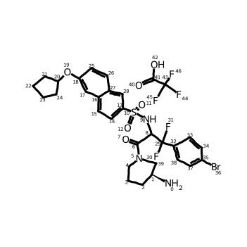 N[C@H]1CCCN(C(=O)C(NS(=O)(=O)c2ccc3cc(OC4CCCC4)ccc3c2)C(F)(F)c2ccc(Br)cc2)C1.O=C(O)C(F)(F)F